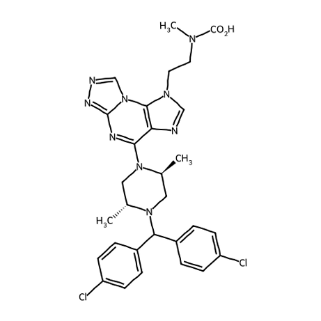 C[C@@H]1CN(c2nc3nncn3c3c2ncn3CCN(C)C(=O)O)[C@@H](C)CN1C(c1ccc(Cl)cc1)c1ccc(Cl)cc1